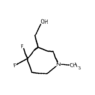 CN1CCC(F)(F)C(CO)C1